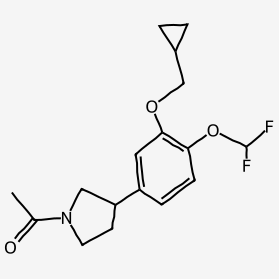 CC(=O)N1CCC(c2ccc(OC(F)F)c(OCC3CC3)c2)C1